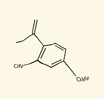 C=C(C)c1ccc(OC)cc1N=O